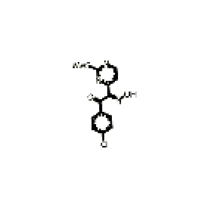 CSc1nccc(/C(=N\O)C(=O)c2ccc(Cl)cc2)n1